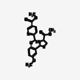 COC(=O)c1ccc(COc2ccc(OC)cc2C2NC(C(=O)OC)CS2)nc1